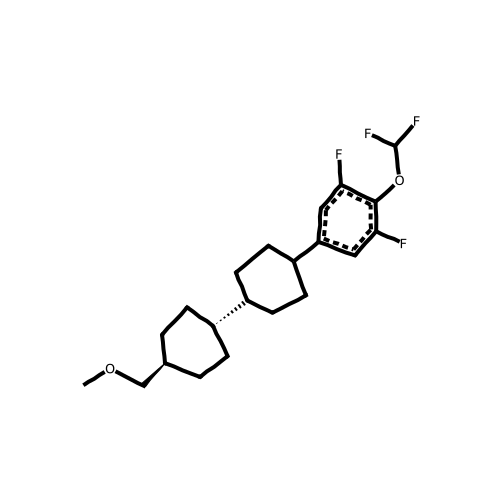 COC[C@H]1CC[C@H](C2CCC(c3cc(F)c(OC(F)F)c(F)c3)CC2)CC1